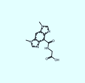 Cn1cnc2c(C(=O)NCC(=O)O)c3ncn(C)c3cc21